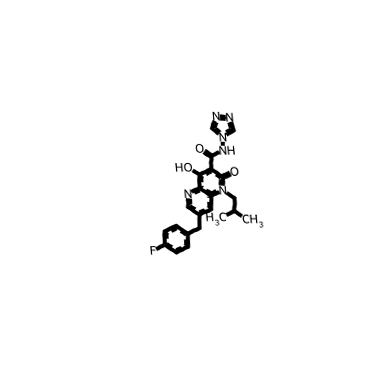 CC(C)Cn1c(=O)c(C(=O)Nn2cnnc2)c(O)c2ncc(Cc3ccc(F)cc3)cc21